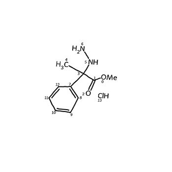 COC(=O)C(C)(NN)c1ccccc1.Cl